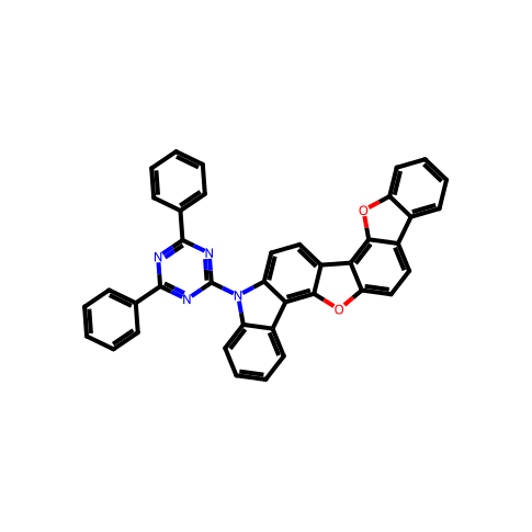 c1ccc(-c2nc(-c3ccccc3)nc(-n3c4ccccc4c4c5oc6ccc7c8ccccc8oc7c6c5ccc43)n2)cc1